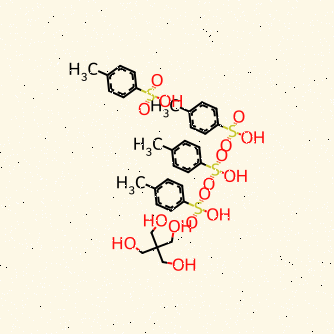 Cc1ccc(S(=O)(=O)O)cc1.Cc1ccc(S(=O)(=O)O)cc1.Cc1ccc(S(=O)(=O)O)cc1.Cc1ccc(S(=O)(=O)O)cc1.OCC(CO)(CO)CO